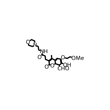 COCCOC1=C(O)C(C=O)C2OC(=O)C(CCC(=O)NCCN3CCOCC3)=C(C)C2=C1